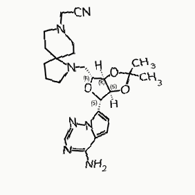 CC1(C)O[C@@H]2[C@H](O1)[C@@H](CN1CCCC13CCN(CC#N)CC3)O[C@H]2c1ccc2c(N)ncnn12